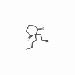 C=CCC1(C/C=C/C)C(=O)CCCC1=O